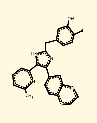 Cc1cccc(-c2[nH]c(Cc3ccc(F)c(O)c3)nc2-c2ccc3nccnc3c2)n1